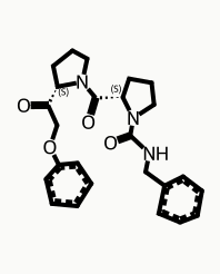 O=C(COc1ccccc1)[C@@H]1CCCN1C(=O)[C@@H]1CCCN1C(=O)NCc1ccccc1